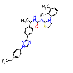 Cc1cccc(N2CCS/C2=N\C(=O)NC(C)c2ccc(-c3ncn(-c4ccc(CC(F)(F)F)cc4)n3)cc2)c1C(C)C